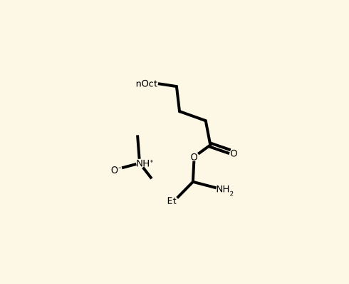 CCCCCCCCCCCC(=O)OC(N)CC.C[NH+](C)[O-]